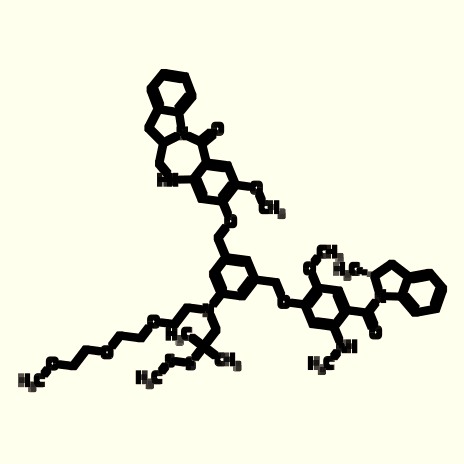 CNc1cc(OCc2cc(COc3cc4c(cc3OC)C(=O)N3c5ccccc5CC3CN4)cc(N(CCOCCOCCOC)CC(C)(C)SSC)c2)c(OC)cc1C(=O)N1c2ccccc2C[C@H]1C